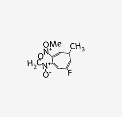 C=[N+]([O-])C1=CC(F)=CC(C)C=C1[N+](=O)OC